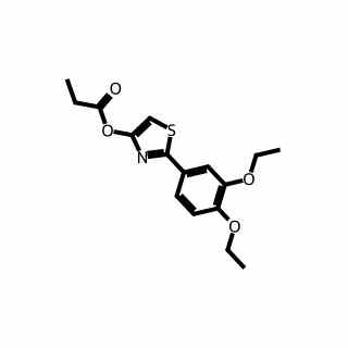 CCOc1ccc(-c2nc(OC(=O)CC)cs2)cc1OCC